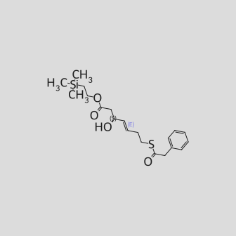 C[Si](C)(C)CCOC(=O)C[C@H](O)/C=C/CCSC(=O)Cc1ccccc1